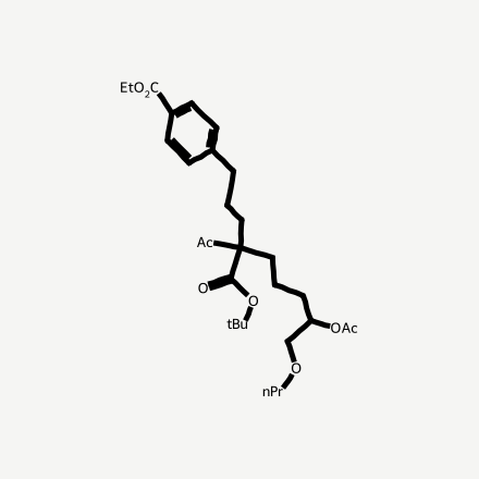 CCCOCC(CCCC(CCCc1ccc(C(=O)OCC)cc1)(C(C)=O)C(=O)OC(C)(C)C)OC(C)=O